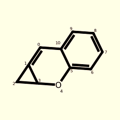 C1=C2CC2Oc2ccccc21